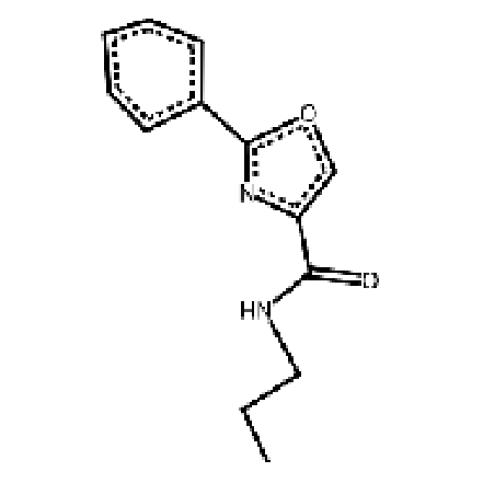 CCCNC(=O)c1coc(-c2ccccc2)n1